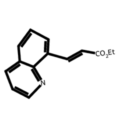 CCOC(=O)C=Cc1cccc2cccnc12